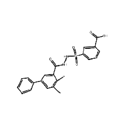 Cc1cc(-c2ccccc2)cc(C(=O)NNS(=O)(=O)c2cccc(C(=O)O)c2)c1F